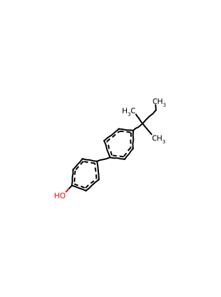 CCC(C)(C)c1ccc(-c2ccc(O)cc2)cc1